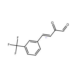 O=[C]C(=O)/C=C/c1cccc(C(F)(F)F)c1